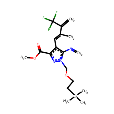 C=Nc1c(/C=C(\C)C(=C)C(F)(F)F)c(C(=O)OC)nn1COCC[Si](C)(C)C